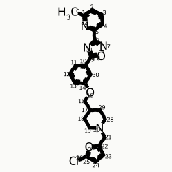 Cc1cccc(-c2noc(-c3cccc(OCC4CCN(Cc5ccc(Cl)o5)CC4)c3)n2)n1